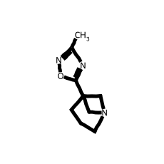 Cc1noc(C23CCCN(C2)C3)n1